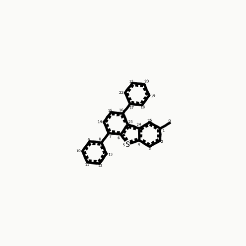 Cc1ccc2sc3c(-c4ccccc4)ccc(-c4ccccc4)c3c2c1